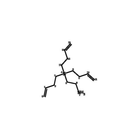 C=CCC[Si](CC[SiH3])(CCC=C)CCC=C